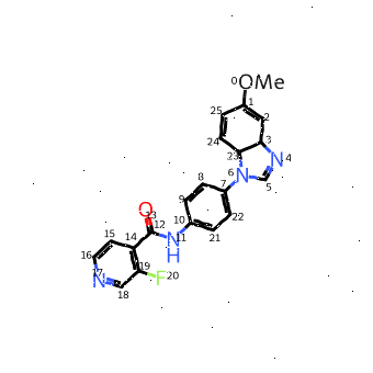 COC1=CC2N=CN(c3ccc(NC(=O)c4ccncc4F)cc3)C2C=C1